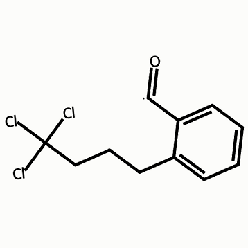 O=[C]c1ccccc1CCCC(Cl)(Cl)Cl